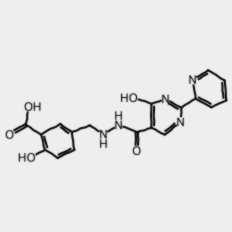 O=C(O)c1cc(CNNC(=O)c2cnc(-c3ccccn3)nc2O)ccc1O